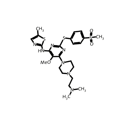 COc1c(Nc2ncc(C)s2)nc(Sc2ccc(S(C)(=O)=O)cc2)nc1N1CCN(CCN(C)C)CC1